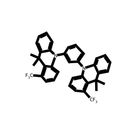 CC1(C)c2ccccc2N(c2cccc(N3c4ccccc4C(C)(C)c4c3cccc4C(F)(F)F)c2)c2cccc(C(F)(F)F)c21